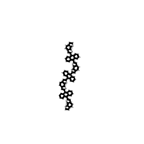 c1ccc2c(-c3cc4ccc5cc(-c6c7ccccc7c(-c7cc8ccc9cc(-c%10c%11ccccc%11c(-c%11cc%12ccc%13ccsc%13c%12s%11)c%11ccccc%10%11)sc9c8s7)c7ccccc67)sc5c4s3)c3ccccc3c(-c3cc4ccc5ccsc5c4s3)c2c1